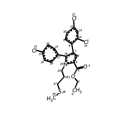 CCOC(=O)c1cc(-c2ccc(Cl)cc2Cl)c(-c2ccc(Cl)cc2)n1CCCSC